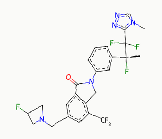 Cn1cnnc1C(F)(F)[C@](C)(F)c1cccc(N2Cc3c(cc(CN4CC(F)C4)cc3C(F)(F)F)C2=O)c1